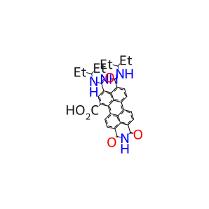 CCC(CC)NC(=N)c1cc(C(=O)O)c2c3ccc4c5c(ccc(c6ccc(C(=O)NC(CC)CC)c1c62)c53)C(=O)NC4=O